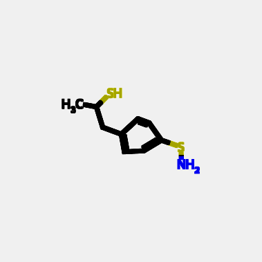 CC(S)Cc1ccc(SN)cc1